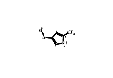 CCSc1c[nH]c(C(F)(F)F)c1